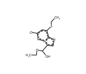 CCOC(O)c1cnc2c(SCC)cc(Cl)nn12